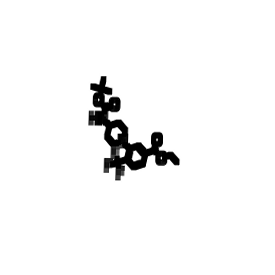 CCOC(=O)c1ccc(C(F)(F)F)c(N2CCC(NC(=O)OC(C)(C)C)CC2)c1